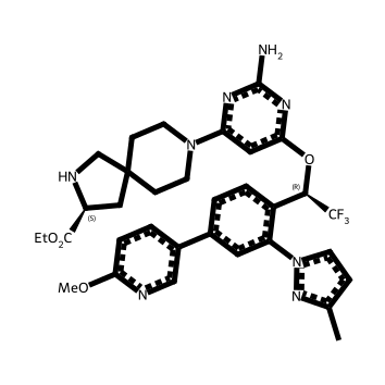 CCOC(=O)[C@@H]1CC2(CCN(c3cc(O[C@H](c4ccc(-c5ccc(OC)nc5)cc4-n4ccc(C)n4)C(F)(F)F)nc(N)n3)CC2)CN1